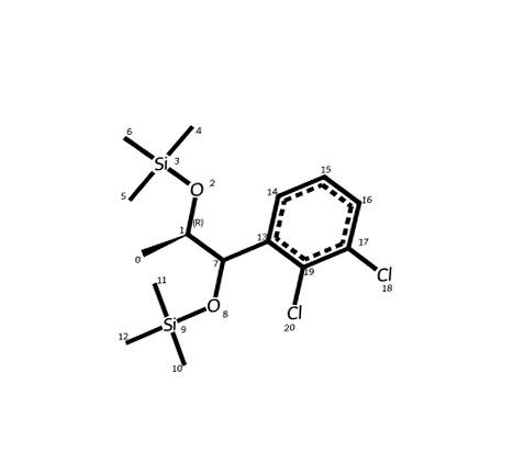 C[C@@H](O[Si](C)(C)C)C(O[Si](C)(C)C)c1cccc(Cl)c1Cl